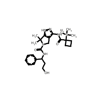 CC1(C)c2[nH]nc(NC(=O)C3([Si](C)(C)C)CCC3)c2CN1C(=O)NC(CCO)c1ccccc1